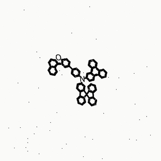 c1ccc2c(c1)-c1ccccc1C21c2ccccc2-c2ccc(N(c3ccc(-c4ccc5oc6ccc7ccccc7c6c5c4)cc3)c3ccc4c5ccccc5c5ccccc5c4c3)cc21